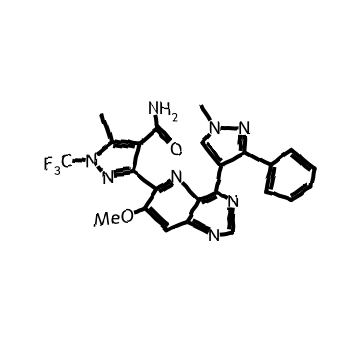 COc1cc2ncnc(-c3cn(C)nc3-c3ccccc3)c2nc1-c1nn(C(F)(F)F)c(C)c1C(N)=O